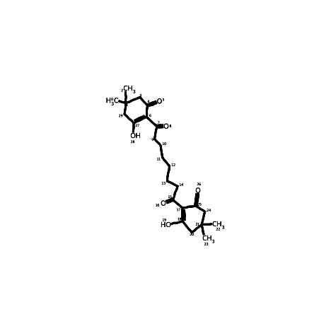 CC1(C)CC(=O)C(C(=O)CCCCCCC(=O)C2=C(O)CC(C)(C)CC2=O)=C(O)C1